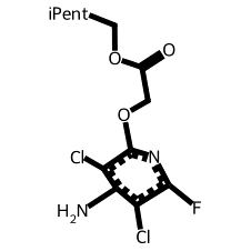 CCCC(C)COC(=O)COc1nc(F)c(Cl)c(N)c1Cl